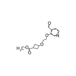 COC(=O)C1CC(OCCOc2cnccc2C=O)C1